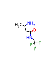 CC(N)CC(=O)NCC(F)(F)F